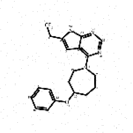 FC(F)(F)Cc1cc2c(N3CCCC(Oc4ccccc4)CC3)ncnc2s1